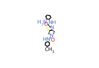 Cc1ccc(NC(=O)N2CCc3nc(C(=O)Nc4ccccc4N)sc3C2)cc1